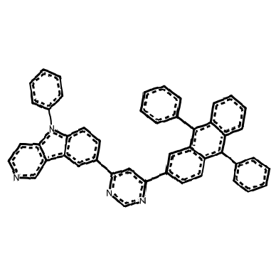 c1ccc(-c2c3ccccc3c(-c3ccccc3)c3cc(-c4cc(-c5ccc6c(c5)c5cnccc5n6-c5ccccc5)ncn4)ccc23)cc1